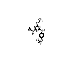 FC(F)(F)COc1nc(Nc2ccc(OC(F)(F)Cl)cc2)nc(NC2CC2)n1